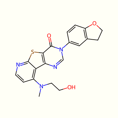 CN(CCO)c1ccnc2sc3c(=O)n(-c4ccc5c(c4)CCO5)cnc3c12